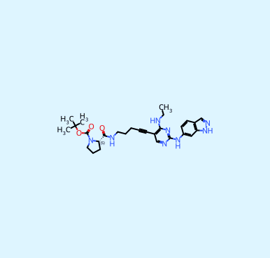 CCNc1nc(Nc2ccc3cn[nH]c3c2)ncc1C#CCCCNC(=O)[C@@H]1CCCN1C(=O)OC(C)(C)C